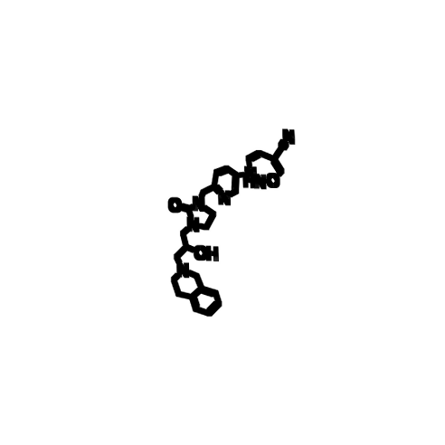 N#Cc1ccn(-c2ccc(CN3CCN(CC(O)CN4CCc5ccccc5C4)C3=O)nc2)[nH]oc1